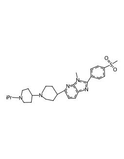 CC(C)N1CCC(N2CCC(c3ccc4nc(-c5ccc(S(C)(=O)=O)cc5)n(C)c4n3)CC2)CC1